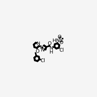 CS(=O)(=O)Nc1cc(Cl)cc(NC(=O)c2cnn(-c3ncccc3OCc3cccc(Cl)c3)c2)c1